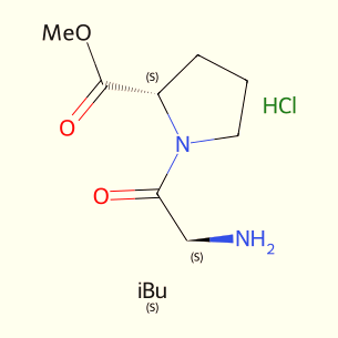 CC[C@H](C)[C@H](N)C(=O)N1CCC[C@H]1C(=O)OC.Cl